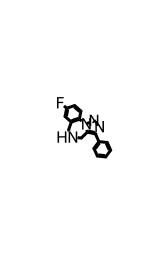 Fc1ccc2c(c1)CNCc1c(-c3ccccc3)nnn1-2